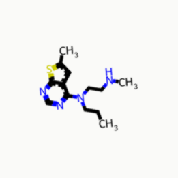 CCCN(CCNC)c1ncnc2sc(C)cc12